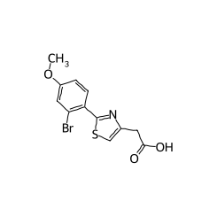 COc1ccc(-c2nc(CC(=O)O)cs2)c(Br)c1